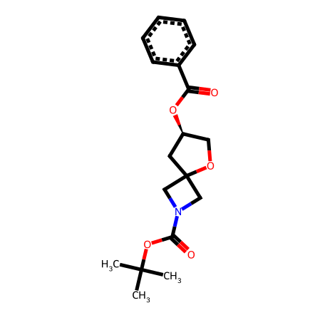 CC(C)(C)OC(=O)N1CC2(C[C@@H](OC(=O)c3ccccc3)CO2)C1